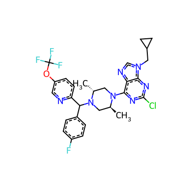 C[C@@H]1CN(c2nc(Cl)nc3c2ncn3CC2CC2)[C@@H](C)CN1C(c1ccc(F)cc1)c1ccc(OC(F)(F)F)cn1